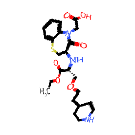 CCOC(=O)[C@@H](COCCC1CCNCC1)NC1CSc2ccccc2N(CC(=O)O)C1=O